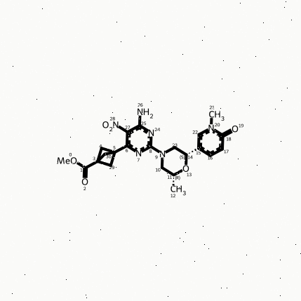 COC(=O)C12CC(c3nc(N4C[C@@H](C)O[C@@H](c5ccc(=O)n(C)c5)C4)nc(N)c3[N+](=O)[O-])(C1)C2